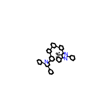 C[Si]1(C)c2ccccc2-c2nc(-c3ccccc3)nc(-c3cccc(-c4cccc(-c5cccc(-c6cccc(-c7cc(-c8ccccc8)cc(-c8ccccc8)n7)c6)c5)c4)c3)c21